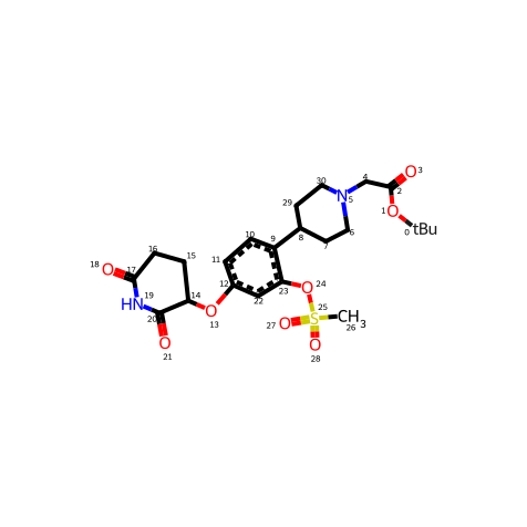 CC(C)(C)OC(=O)CN1CCC(c2ccc(OC3CCC(=O)NC3=O)cc2OS(C)(=O)=O)CC1